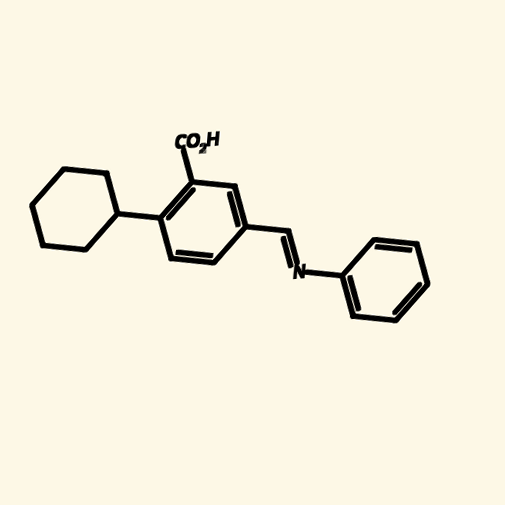 O=C(O)c1cc(C=Nc2ccccc2)ccc1C1CCCCC1